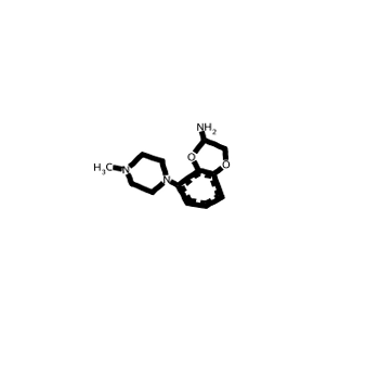 CN1CCN(c2cccc3c2OC(N)CO3)CC1